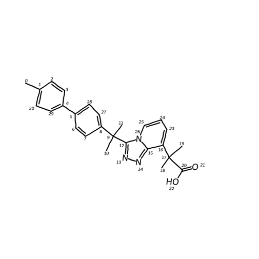 Cc1ccc(-c2ccc(C(C)(C)c3nnc4c(C(C)(C)C(=O)O)cccn34)cc2)cc1